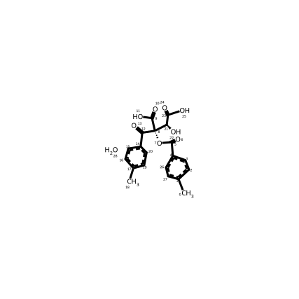 Cc1ccc(C(=O)O[C@@](C(=O)O)(C(=O)c2ccc(C)cc2)[C@H](O)C(=O)O)cc1.O